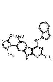 COc1cc2c(cc1-n1c(C)nnc1C)[nH]c1nc(C)nc(Nc3cnn4ccccc34)c12